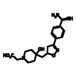 N=C(N)c1ccc(C2=NOC(CC3(O)CCN(CC(=O)O)CC3)C2)cc1